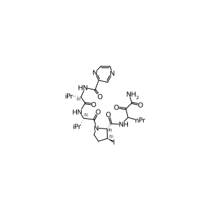 CCCC(NC(=O)[C@@H]1[C@@H](I)CCN1C(=O)[C@@H](NC(=O)[C@@H](NC(=O)c1cnccn1)C(C)C)C(C)C)C(=O)C(N)=O